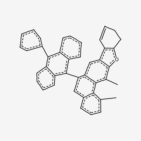 Cc1cccc2cc(-c3c4ccccc4c(-c4ccccc4)c4ccccc34)c3cc4c5c(oc4c(C)c3c12)CCC=C5